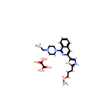 CCN1CCN(c2nc(-c3cnc(CCCOC)s3)cc3ccccc23)CC1.O=C(O)C(=O)O